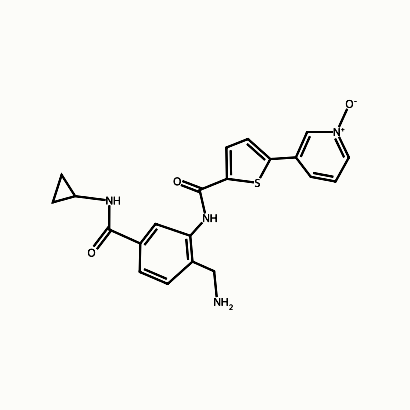 NCc1ccc(C(=O)NC2CC2)cc1NC(=O)c1ccc(-c2ccc[n+]([O-])c2)s1